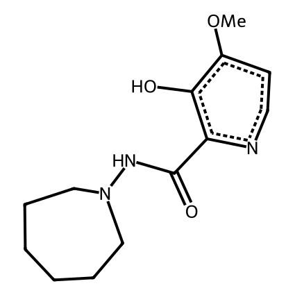 COc1ccnc(C(=O)NN2CCCCCC2)c1O